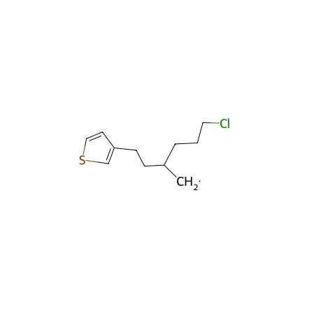 [CH2]C(CCCCl)CCc1ccsc1